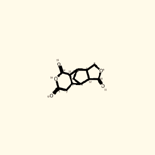 O=C1CC2C3CC(C4COC(=O)C34)C2C(=O)O1